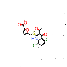 COC(=O)c1ccc(CSc2[nH]c3c(Cl)ccc(Cl)c3c(=O)c2C(C)=O)o1